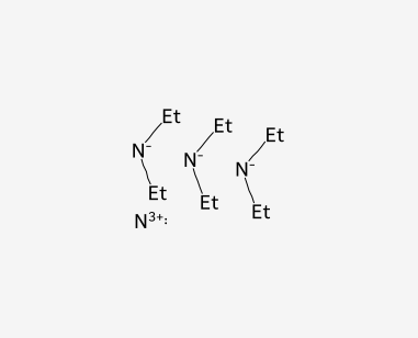 CC[N-]CC.CC[N-]CC.CC[N-]CC.[N+3]